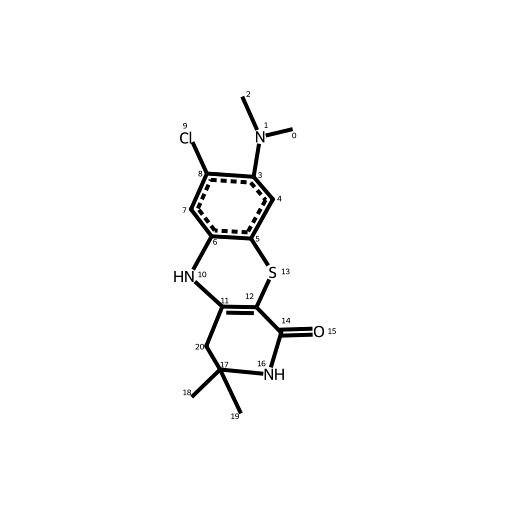 CN(C)c1cc2c(cc1Cl)NC1=C(S2)C(=O)NC(C)(C)C1